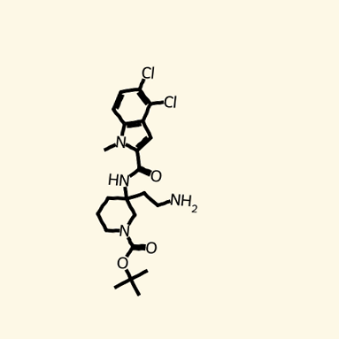 Cn1c(C(=O)NC2(CCN)CCCN(C(=O)OC(C)(C)C)C2)cc2c(Cl)c(Cl)ccc21